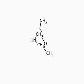 CCOCCCN.CNC